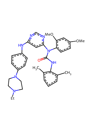 CCN1CCN(c2ccc(Nc3cc(N(C(=O)Nc4c(C)cccc4C)c4ccc(OC)cc4OC)ncn3)cc2)CC1